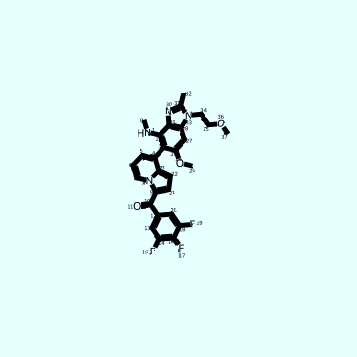 CNc1c(-c2cccn3c(C(=O)c4cc(F)c(F)c(F)c4)ccc23)c(OC)cc2c1nc(C)n2CCOC